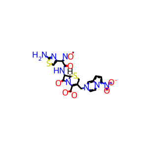 CO/N=C(\C(=O)N[C@@H]1C(=O)N2C(C(=O)[O-])=C(Cn3cc[n+]4c([N+](=O)[O-])ccc-4c3)CS[C@H]12)c1csc(N)n1